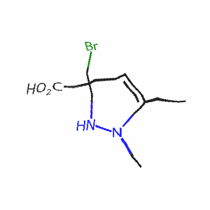 CC1=CC(Br)(C(=O)O)NN1C